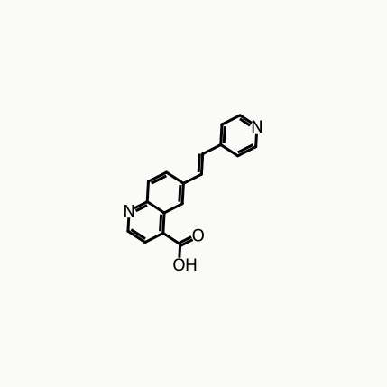 O=C(O)c1ccnc2ccc(/C=C/c3ccncc3)cc12